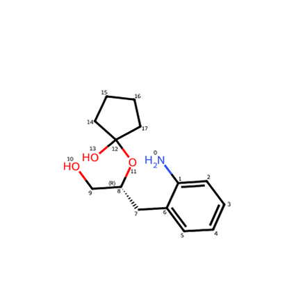 Nc1ccccc1C[C@H](CO)OC1(O)CCCC1